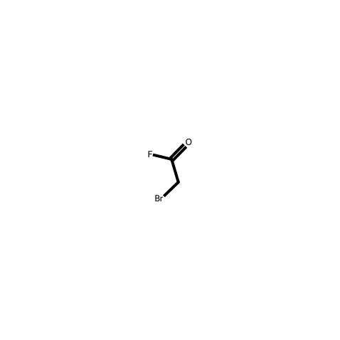 O=C(F)CBr